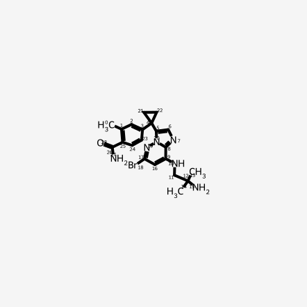 Cc1cc(C2(c3cnc4c(NCC(C)(C)N)cc(Br)nn34)CC2)ccc1C(N)=O